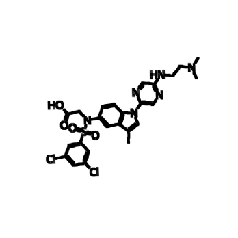 Cc1cn(-c2cnc(NCCN(C)C)cn2)c2ccc(N(CC(=O)O)S(=O)(=O)c3cc(Cl)cc(Cl)c3)cc12